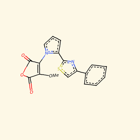 COC1=C(n2cccc2-c2nc(-c3ccccc3)cs2)C(=O)OC1=O